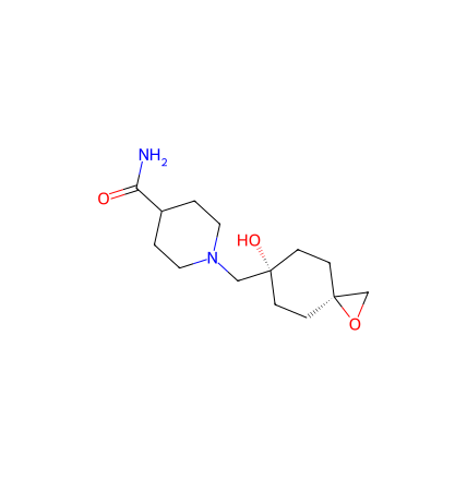 NC(=O)C1CCN(C[C@]2(O)CC[C@]3(CC2)CO3)CC1